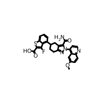 COc1ccc2nccc(-n3nc4c(c3C(N)=O)CC(c3cccc5sc(C(=O)O)c(F)c35)CC4)c2c1